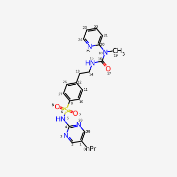 CCCc1cnc(NS(=O)(=O)c2ccc(CCNC(=O)N(C)c3ccccn3)cc2)nc1